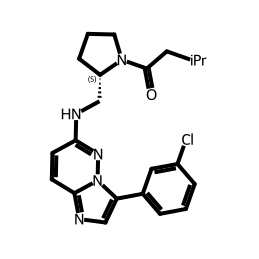 CC(C)CC(=O)N1CCC[C@H]1CNc1ccc2ncc(-c3cccc(Cl)c3)n2n1